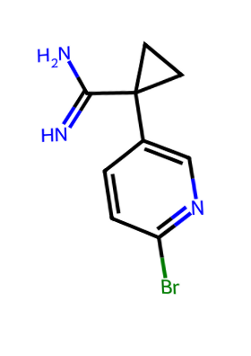 N=C(N)C1(c2ccc(Br)nc2)CC1